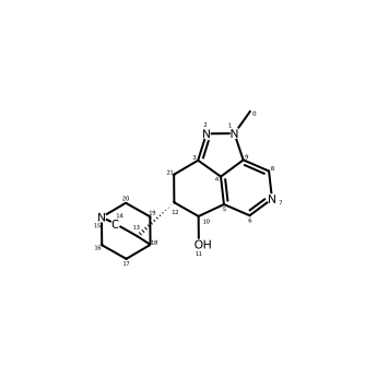 Cn1nc2c3c(cncc31)C(O)[C@H](C1CN3CCC1CC3)C2